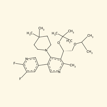 Cc1ncc(-c2cnc(F)c(F)c2)c(N2CCC(C)(C)CC2)c1[C@@H](COC(C)C)OC(C)(C)C